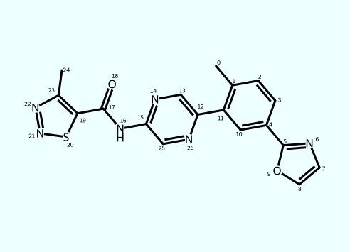 Cc1ccc(-c2ncco2)cc1-c1cnc(NC(=O)c2snnc2C)cn1